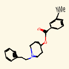 CNc1cccc(C(=O)OC2CCN(Cc3ccccc3)CC2)c1